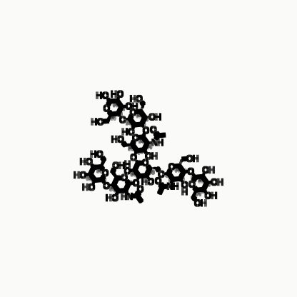 CC(=O)N[C@H]1[C@H](OC[C@H]2O[C@@H](O[C@H]3[C@H](O)[C@@H](NC(C)=O)[C@H](O[C@H]4[C@@H](O)[C@@H](CO)O[C@@H](O[C@H]5[C@H](O)[C@@H](O)[C@H](O)O[C@@H]5CO)[C@@H]4O)O[C@@H]3CO)[C@H](O)[C@@H](O[C@@H]3O[C@H](CO)[C@@H](O[C@@H]4O[C@H](CO)[C@H](O)[C@H](O)[C@H]4O)[C@H](O)[C@H]3NC(C)=O)[C@H]2O)O[C@H](CO)[C@@H](O[C@@H]2O[C@H](CO)[C@H](O)[C@H](O)[C@H]2O)[C@@H]1O